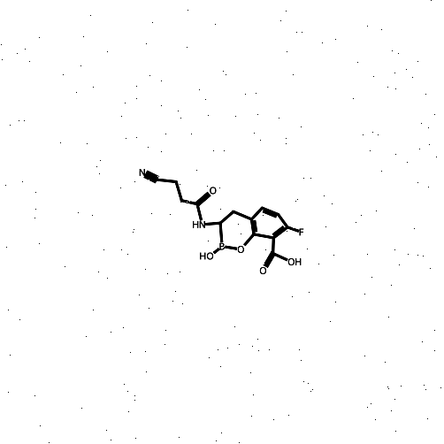 N#CCCC(=O)NC1Cc2ccc(F)c(C(=O)O)c2OB1O